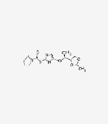 CC1OC[C@H]([C@H](C)Oc2nc(SC(=O)N3CCCC3)ns2)O1